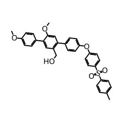 COc1ccc(-c2cc(CO)c(-c3ccc(Oc4ccc(S(=O)(=O)c5ccc(C)cc5)cc4)cc3)cc2OC)cc1